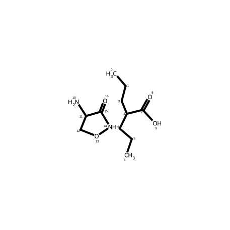 CCCC(CCC)C(=O)O.NC1CONC1=O